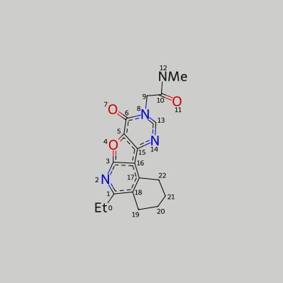 CCc1nc2oc3c(=O)n(CC(=O)NC)cnc3c2c2c1CCCC2